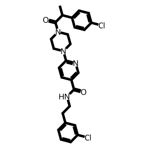 CC(C(=O)N1CCN(c2ccc(C(=O)NCCc3cccc(Cl)c3)cn2)CC1)c1ccc(Cl)cc1